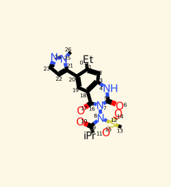 CCc1cc2[nH]c(=O)n(N(C(=O)C(C)C)S(C)(=O)=O)c(=O)c2cc1-c1ccnn1C